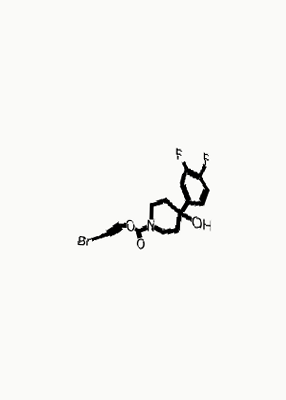 O=C(OC#CBr)N1CCC(O)(c2ccc(F)c(F)c2)CC1